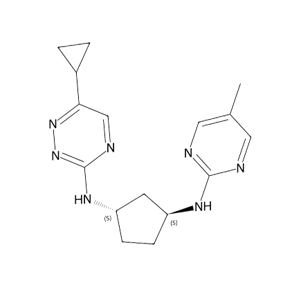 Cc1cnc(N[C@H]2CC[C@H](Nc3ncc(C4CC4)nn3)C2)nc1